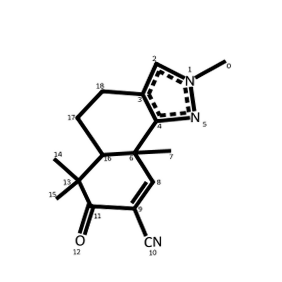 Cn1cc2c(n1)C1(C)C=C(C#N)C(=O)C(C)(C)C1CC2